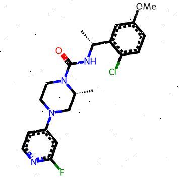 COc1ccc(Cl)c([C@@H](C)NC(=O)N2CCN(c3ccnc(F)c3)C[C@H]2C)c1